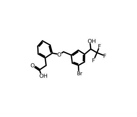 O=C(O)Cc1ccccc1OCc1cc(Br)cc(C(O)C(F)(F)F)c1